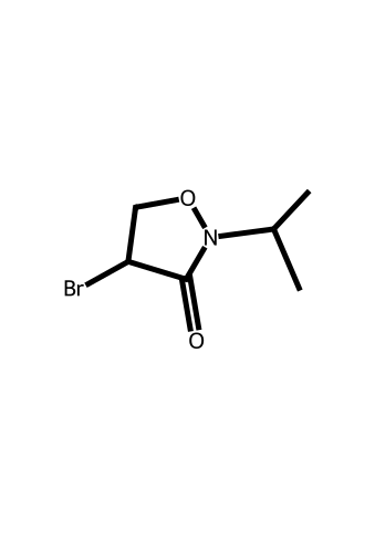 CC(C)N1OCC(Br)C1=O